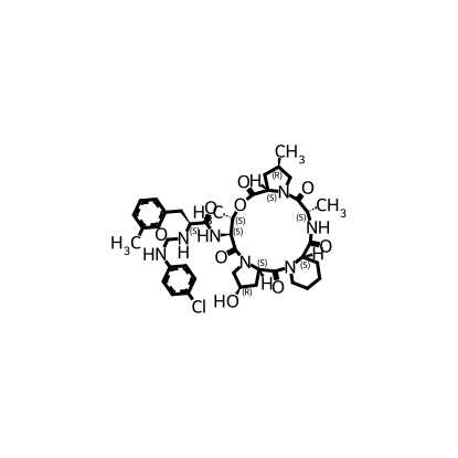 Cc1cccc(C[C@H](NC(=O)Nc2ccc(Cl)cc2)C(=O)N[C@@H]2C(=O)N3C[C@H](O)C[C@H]3C(=O)N3CCCC[C@H]3C(=O)N[C@@H](C)C(=O)N3C[C@H](C)C[C@H]3C(=O)O[C@H]2C)c1